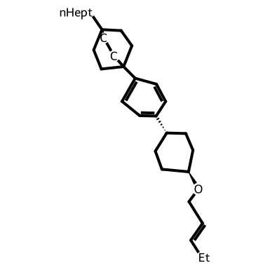 CCC=CCO[C@H]1CC[C@H](c2ccc(C34CCC(CCCCCCC)(CC3)CC4)cc2)CC1